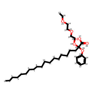 CCCCCCCCCCCCCCCCCCC(OCCOCCOCC)(Oc1ccccc1)C(=O)O